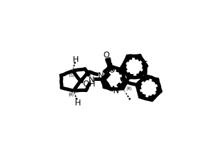 C[C@H](CC(=O)N1C[C@H]2CC[C@@H](C1)C2(O)Cn1cnc(-c2ccccc2F)cc1=O)c1ccccc1